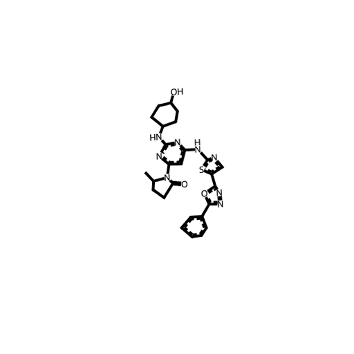 CC1CCC(=O)N1c1cc(Nc2ncc(-c3nnc(-c4ccccc4)o3)s2)nc(NC2CCC(O)CC2)n1